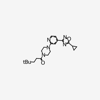 CC(C)(C)CCC(=O)N1CCN(c2cc(-c3noc(C4CC4)n3)ccn2)CC1